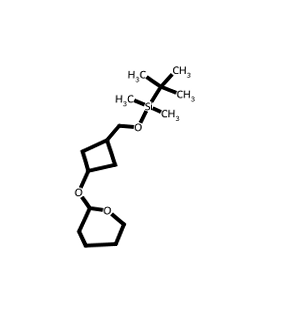 CC(C)(C)[Si](C)(C)OCC1CC(OC2CCCCO2)C1